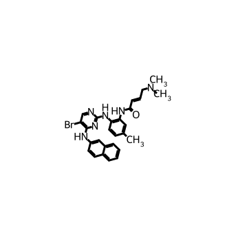 Cc1ccc(Nc2ncc(Br)c(Nc3ccc4ccccc4c3)n2)c(NC(=O)/C=C/CN(C)C)c1